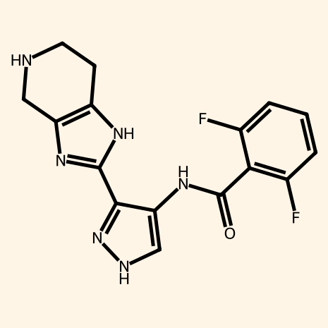 O=C(Nc1c[nH]nc1-c1nc2c([nH]1)CCNC2)c1c(F)cccc1F